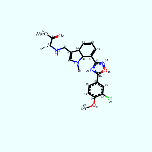 COC(=O)[C@@H](C)NCC1=CN(C)C2C(c3noc(-c4ccc(OC(C)C)c(Cl)c4)n3)=CC=CC12